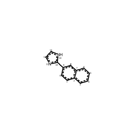 [c]1cc2ccccc2cc1-c1ncc[nH]1